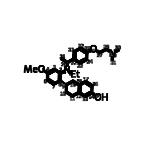 CCN(c1cc(OC)ccc1[C@@H]1CCc2cc(O)ccc2C1)C(C)c1ccc(OCCN(C)C)cc1